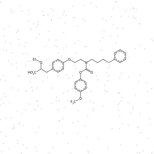 CCOC(Cc1ccc(OCCN(CCCCc2ccccc2)C(=O)Oc2ccc(OC(F)(F)F)cc2)cc1)C(=O)O